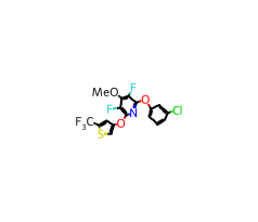 COc1c(F)c(Oc2cccc(Cl)c2)nc(Oc2csc(C(F)(F)F)c2)c1F